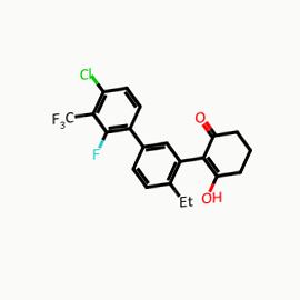 CCc1ccc(-c2ccc(Cl)c(C(F)(F)F)c2F)cc1C1=C(O)CCCC1=O